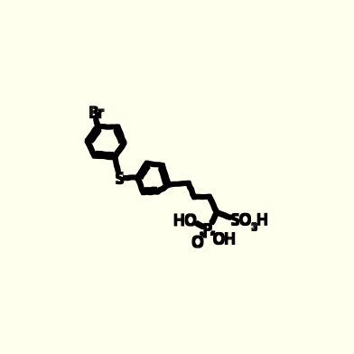 O=P(O)(O)C(CCCc1ccc(Sc2ccc(Br)cc2)cc1)S(=O)(=O)O